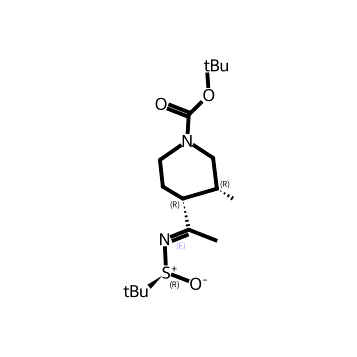 C/C(=N\[S@@+]([O-])C(C)(C)C)[C@@H]1CCN(C(=O)OC(C)(C)C)C[C@@H]1C